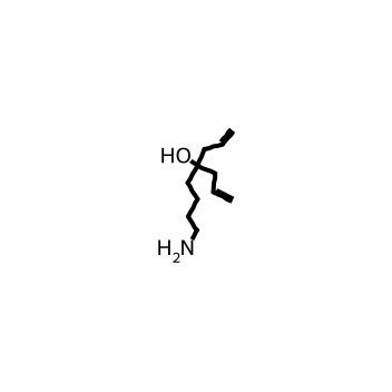 C=CCC(O)(CC=C)CCCCN